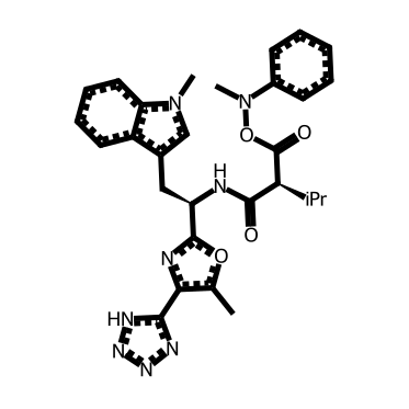 Cc1oc([C@@H](Cc2cn(C)c3ccccc23)NC(=O)[C@@H](C(=O)ON(C)c2ccccc2)C(C)C)nc1-c1nnn[nH]1